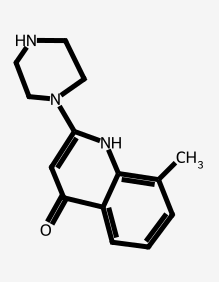 Cc1cccc2c(=O)cc(N3CCNCC3)[nH]c12